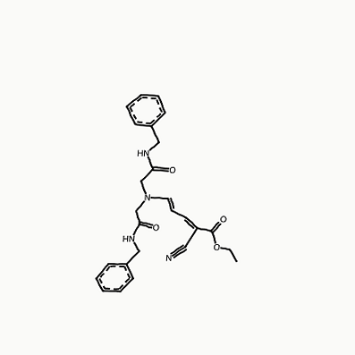 CCOC(=O)/C(C#N)=C/C=C/N(CC(=O)NCc1ccccc1)CC(=O)NCc1ccccc1